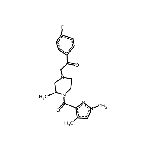 Cc1cn(C)nc1C(=O)N1CCN(CC(=O)c2ccc(F)cc2)C[C@@H]1C